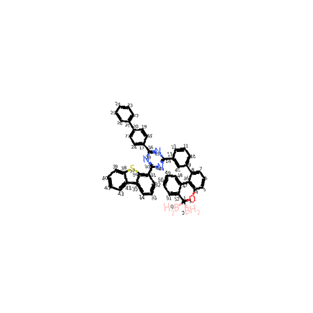 BC1(B)Oc2cccc(-c3cccc(-c4nc(-c5ccc(-c6ccccc6)cc5)nc(-c5cccc6c5sc5ccccc56)n4)c3)c2-c2ccccc21